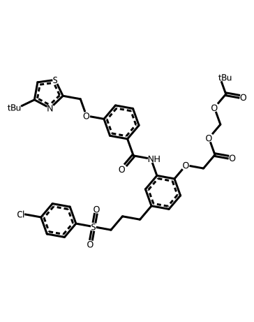 CC(C)(C)C(=O)OCOC(=O)COc1ccc(CCCS(=O)(=O)c2ccc(Cl)cc2)cc1NC(=O)c1cccc(OCc2nc(C(C)(C)C)cs2)c1